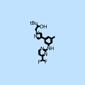 Cc1cc(Nc2nccc(C(F)F)n2)cc(-c2cnn(CC(O)C(C)(C)C)c2)c1